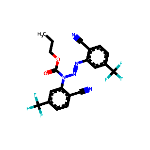 CCCOC(=O)N(N=Nc1cc(C(F)(F)F)ccc1C#N)c1cc(C(F)(F)F)ccc1C#N